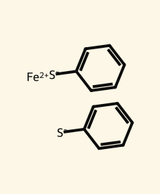 [Fe+2].[S-]c1ccccc1.[S-]c1ccccc1